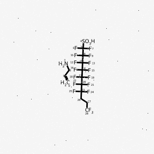 C=CCN.O=S(=O)(O)C(F)(F)C(F)(F)C(F)(F)C(F)(F)C(F)(F)C(F)(F)C(F)(F)CCC(F)(F)F